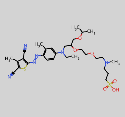 CCN(CC(COC(C)C)OCCOCCN(C)CCCS(=O)(=O)O)c1ccc(/N=N/c2sc(C#N)c(C)c2C#N)c(C)c1